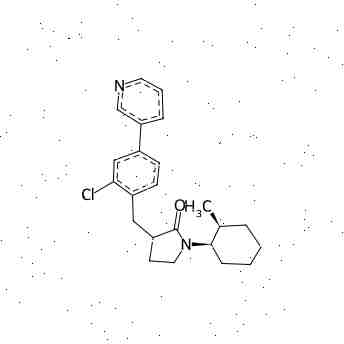 C[C@H]1CCCC[C@H]1N1CCC(Cc2ccc(-c3cccnc3)cc2Cl)C1=O